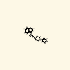 O=C(C=CN1CCN(c2ccncc2)CC1)c1cccc2ccccc12